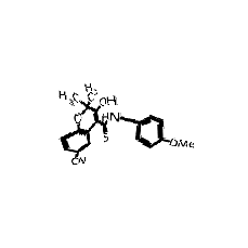 COc1ccc(NC(=S)C2=C(O)C(C)(C)Oc3ccc(C#N)cc32)cc1